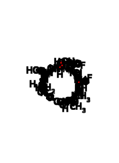 CC(=O)N[C@H]1CNC(=O)COc2ccc(cc2)C[C@@H](C(N)=O)NC(=O)[C@]2(C)CCCN2C(=O)[C@H](Cc2ccc(O)cc2)NC(=O)[C@H](Cc2cnc[nH]2)NC(=O)[C@H](CC(=O)O)NC(=O)[C@H](Cc2c[nH]c3ccc(F)cc23)NC(=O)[C@H](Cc2c[nH]c3ccc(F)cc23)NC(=O)CNC(=O)[C@H](C)NC1=O